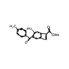 COC(=O)C1=Cc2cc(C(=O)c3ccc(C)cc3)c(O)cc21